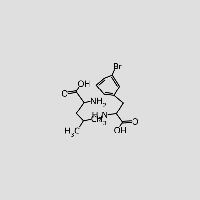 CC(C)CC(N)C(=O)O.NC(Cc1cccc(Br)c1)C(=O)O